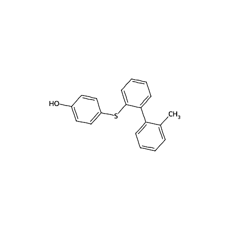 Cc1ccccc1-c1ccccc1Sc1ccc(O)cc1